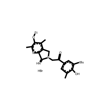 Br.CCOc1c(C)nc2c(c1C)CN(CC(=O)c1cc(C)c(O)c(C(C)(C)C)c1)C2=N